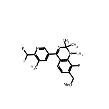 COCc1ccc2c(c1F)N(C)C(C)(C)N=C2c1cnc(C(F)F)c(C)c1